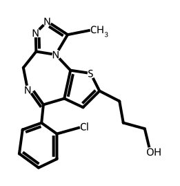 Cc1nnc2n1-c1sc(CCCO)cc1C(c1ccccc1Cl)=NC2